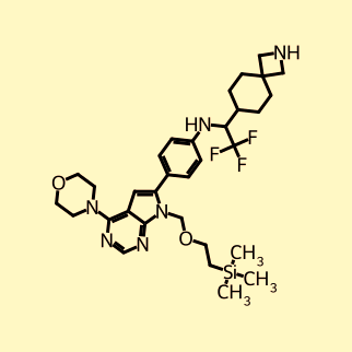 C[Si](C)(C)CCOCn1c(-c2ccc(NC(C3CCC4(CC3)CNC4)C(F)(F)F)cc2)cc2c(N3CCOCC3)ncnc21